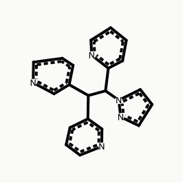 c1ccc(C(C(c2cccnc2)c2cccnc2)n2cccn2)nc1